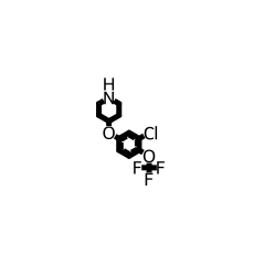 FC(F)(F)Oc1ccc(OC2CCNCC2)cc1Cl